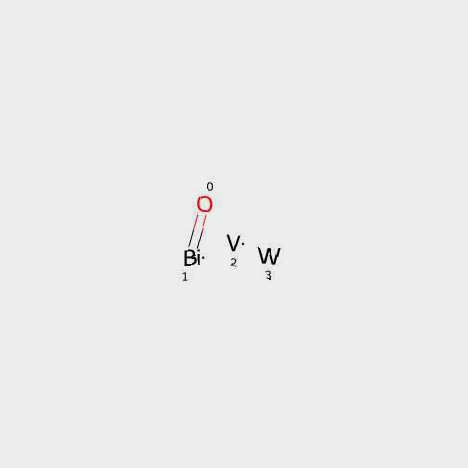 [O]=[Bi].[V].[W]